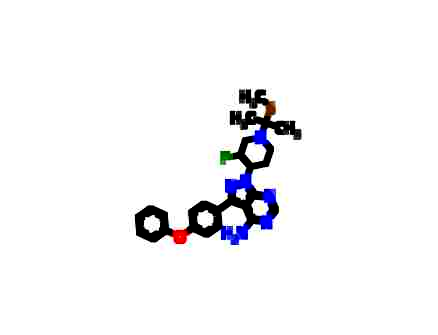 CSC(C)(C)N1CCC(n2nc(-c3ccc(Oc4ccccc4)cc3)c3c(N)ncnc32)C(F)C1